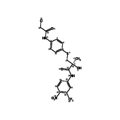 C[C@@](O)(CSc1ccc(NC(=O)CCl)cc1)C(=O)Nc1ccc([N+](=O)[O-])c(C(F)(F)F)c1